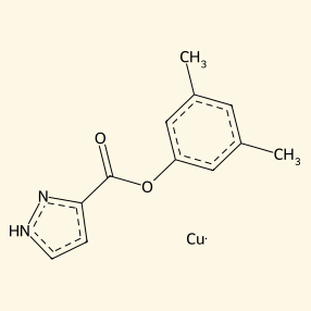 Cc1cc(C)cc(OC(=O)c2cc[nH]n2)c1.[Cu]